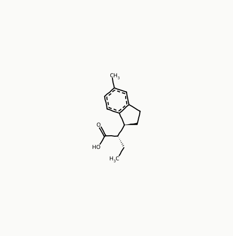 CC[C@H](C(=O)O)[C@@H]1CCc2cc(C)ccc21